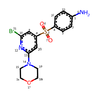 Nc1ccc(S(=O)(=O)c2cc(Br)nc(N3CCOCC3)c2)cc1